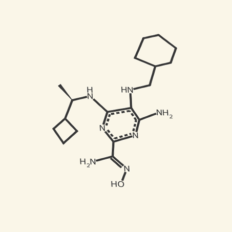 C[C@@H](Nc1nc(/C(N)=N/O)nc(N)c1NCC1CCCCC1)C1CCC1